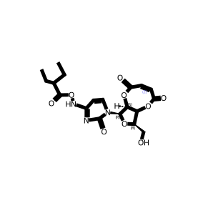 CCC(CC)C(=O)ONc1ccn([C@@H]2O[C@H](CO)C3OC(=O)/C=C\C(=O)O[C@@H]32)c(=O)n1